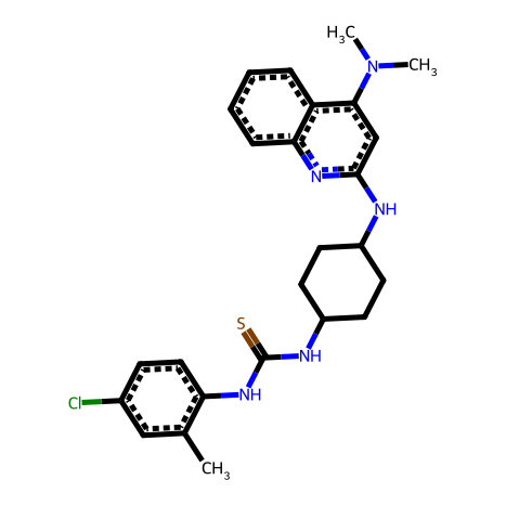 Cc1cc(Cl)ccc1NC(=S)NC1CCC(Nc2cc(N(C)C)c3ccccc3n2)CC1